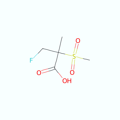 CC(CF)(C(=O)O)S(C)(=O)=O